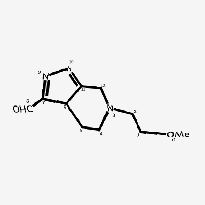 COCCN1CCC2C(C=O)=NN=C2C1